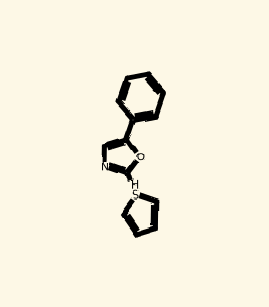 C1=C[SH](c2ncc(-c3ccccc3)o2)C=C1